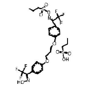 CCCS(=O)(=O)O.CCCS(=O)(=O)ON=C(c1ccc(OCCCOc2ccc(C(=NO)C(F)(F)F)cc2)cc1)C(F)(F)F